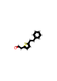 O=CCc1ccc(CCc2ccccc2)s1